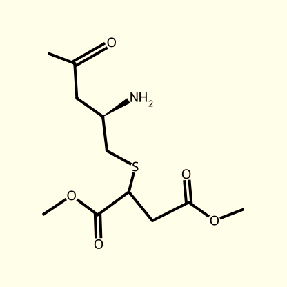 COC(=O)CC(SC[C@H](N)CC(C)=O)C(=O)OC